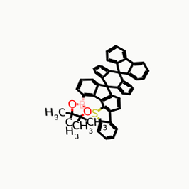 CC1(C)OB(c2cccc3c2-c2c(ccc4c2sc2ccccc24)C32c3ccccc3C3(c4ccccc4-c4ccccc43)c3ccccc32)OC1(C)C